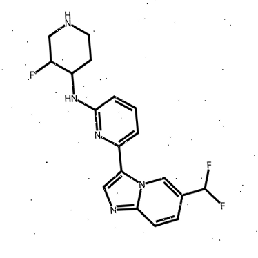 FC(F)c1ccc2ncc(-c3cccc(NC4CCNCC4F)n3)n2c1